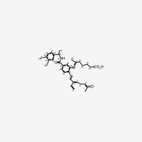 C=CC(=CC/C=C(\C)Cl)/C=N/c1ccc(C(=O)NC(C)c2ccc(F)c(F)c2)cc1/N=C(\C)CCCCC(=O)O